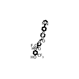 O=C(CN1CCC(C(=O)Nc2ccc(O)c(C(F)(F)F)c2)(C(F)(F)F)C1)N1CCN(c2ccc(-c3ncccn3)cc2)CC1